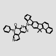 CC1(C)c2cc3c(cc2-c2ccc4ccccc4c21)c1ccccc1n3-c1ncc2c(n1)c(=O)n(-c1ccccc1)c1cnccc21